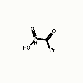 CC(C)C(=O)[PH](=O)O